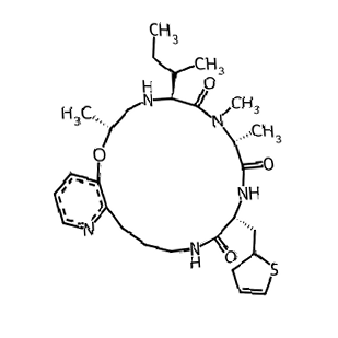 CCC(C)[C@@H]1NC[C@@H](C)Oc2cccnc2CCCNC(=O)[C@@H](CC2CC=CS2)NC(=O)[C@@H](C)N(C)C1=O